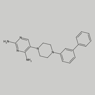 Nc1ncc(N2CCN(c3cccc(-c4ccccc4)c3)CC2)c(N)n1